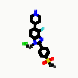 Cl.Cn1c(-c2ccc(S(C)(=O)=O)cc2)nc2c(F)c(C3CCNCC3)ccc21